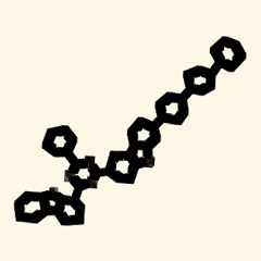 c1ccc(-c2ccc(-c3ccc(-c4ccc5c(c4)oc4ccc(-c6nc(-c7ccccc7)nc(-c7cccc8c7sc7ccccc78)n6)cc45)cc3)cc2)cc1